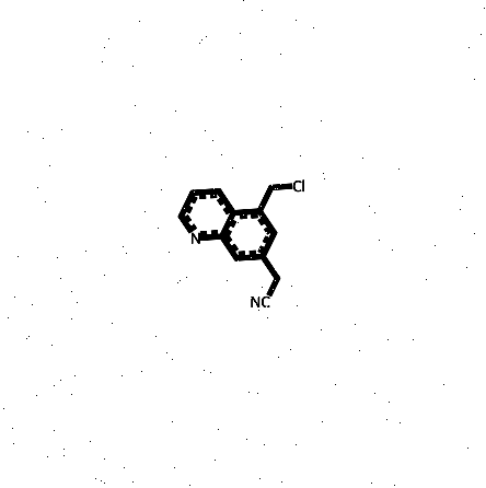 N#CCc1cc(CCl)c2cccnc2c1